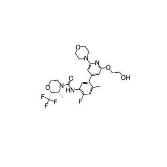 Cc1cc(F)c(NC(=O)N2CCO[C@@H](C(F)(F)F)[C@H]2C)cc1-c1cc(OCCO)nc(N2CCOCC2)c1